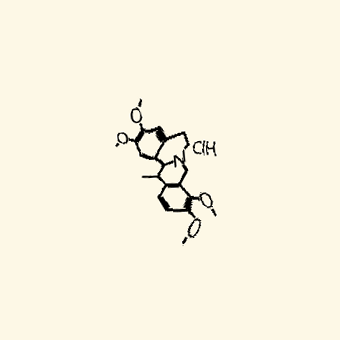 COc1cc2c(cc1OC)C1C(C)c3ccc(OC)c(OC)c3CN1CC2.Cl